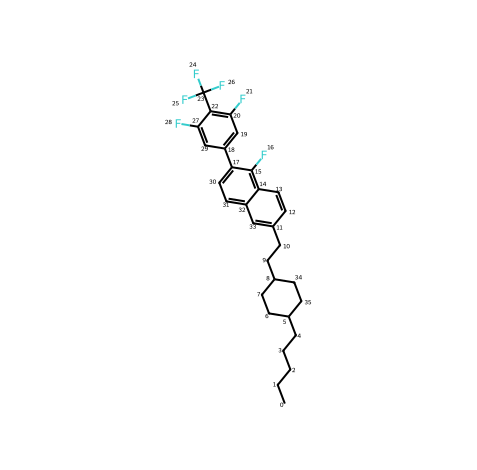 CCCCCC1CCC(CCc2ccc3c(F)c(-c4cc(F)c(C(F)(F)F)c(F)c4)ccc3c2)CC1